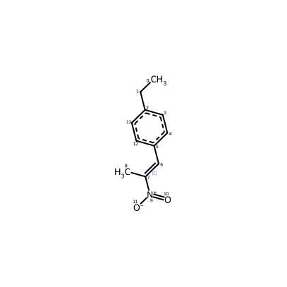 CCc1ccc(/C=C(\C)[N+](=O)[O-])cc1